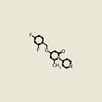 Cc1cc(OCc2ccc(F)cc2F)cc(=O)n1-c1ccncc1